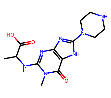 CC(Nc1nc2nc(N3CCNCC3)[nH]c2c(=O)n1C)C(=O)O